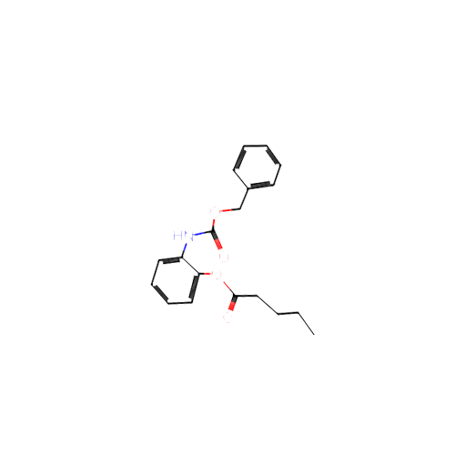 CCCCC(=O)Oc1ccccc1NC(=O)OCc1ccccc1